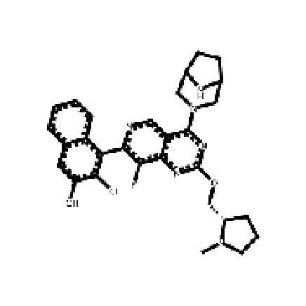 CN1CCC[C@H]1COc1nc(N2CC3CCC(C2)N3)c2cnc(-c3c(Cl)c(O)cc4ccccc34)c(F)c2n1